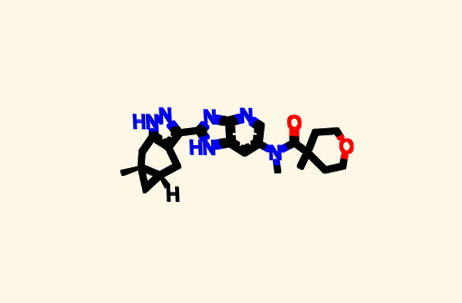 CN(C(=O)C1(C)CCOCC1)c1cnc2nc(-c3n[nH]c4c3C[C@@H]3C[C@]3(C)C4)[nH]c2c1